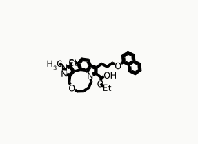 CCOC(O)c1c(CCCOc2cccc3ccccc23)c2ccc(Cl)c3c2n1CCCCOCc1nn(C)c(CC)c1-3